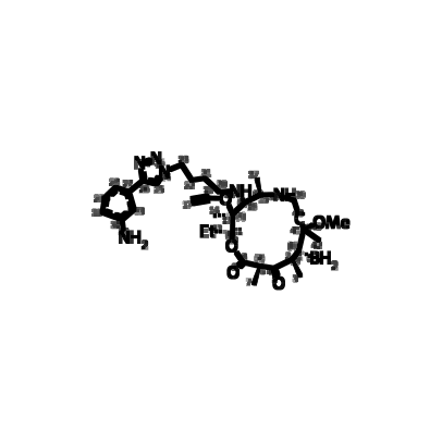 B[C@@H]1[C@@H](C)C(=O)[C@@H](C)C(=O)O[C@H](CC)[C@@](C)(OC#C)[C@H](NCCCCn2cc(-c3cccc(N)c3)nn2)[C@@H](C)NCC[C@@]1(C)OC